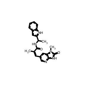 CC(=Cc1cnc2[nH]c(=O)n(C)c2c1)C(=O)NC(C)c1cc2ccccc2[nH]1